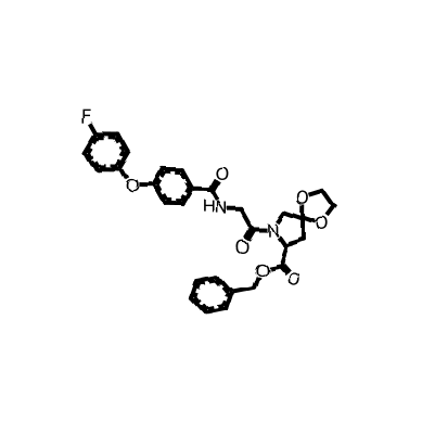 O=C(NCC(=O)N1CC2(CC1C(=O)OCc1ccccc1)OCCO2)c1ccc(Oc2ccc(F)cc2)cc1